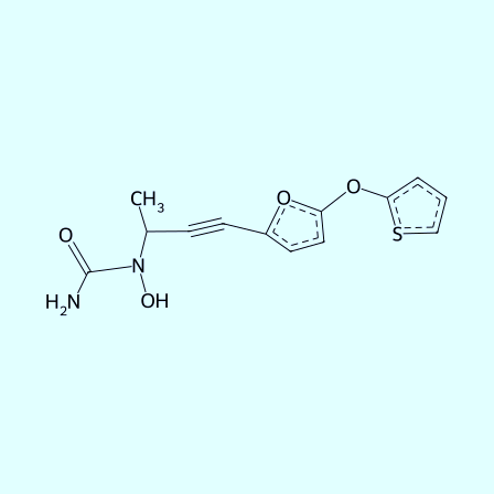 CC(C#Cc1ccc(Oc2cccs2)o1)N(O)C(N)=O